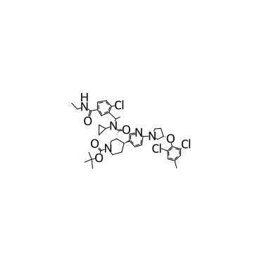 CCNC(=O)c1ccc(Cl)c(C(C)N(C(=O)[C@H]2CN(C(=O)OC(C)(C)C)CC[C@@H]2c2ccc(N3CC[C@H](Oc4c(Cl)cc(C)cc4Cl)C3)nc2)C2CC2)c1